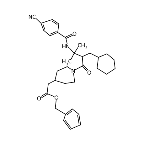 CC(C)(NC(=O)c1ccc(C#N)cc1)C(CC1CCCCC1)C(=O)N1CCC(CC(=O)OCc2ccccc2)CC1